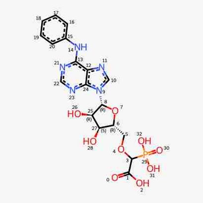 O=C(O)C(OC[C@H]1O[C@@H](n2cnc3c(Nc4ccccc4)ncnc32)[C@H](O)[C@@H]1O)P(=O)(O)O